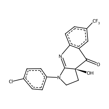 O=C1c2cc(C(F)(F)F)ccc2N=C2N(c3ccc(Cl)cc3)CC[C@@]12O